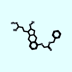 [3H]OC1CC2Cc3c(cccc3OCC(=O)OCc3ccccc3)CC2C1CCC(O)CCCCC